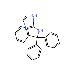 c1ccc(C(Nc2ncc[nH]2)(c2ccccc2)c2ccccc2)cc1